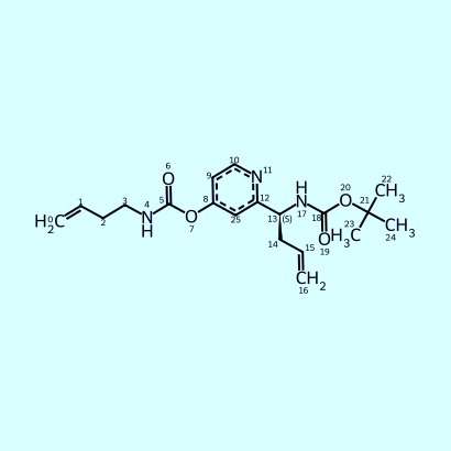 C=CCCNC(=O)Oc1ccnc([C@H](CC=C)NC(=O)OC(C)(C)C)c1